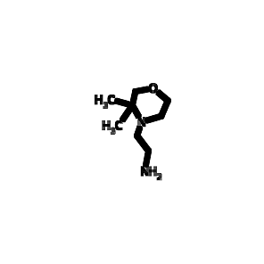 CC1(C)COCCN1CCN